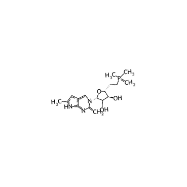 C=C1N=c2[nH]c(C)cc2=CN1[C@@H]1O[C@H](CCP(=C)(C)C)[C@@H](O)C1O